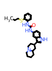 CCCSc1ccccc1NC(=O)Nc1ccc2[nH]cc(C3CCN4CCCCC4C3)c2c1